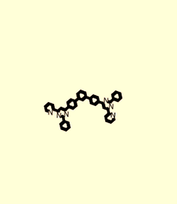 c1ccc(-c2nc(-c3ccc(-c4cccc(-c5ccc(-c6cc(-c7ccccn7)nc(-c7ccccc7)n6)cc5)c4)cc3)cc(-c3ccccn3)n2)cc1